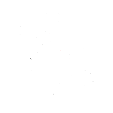 COC(=O)CCCOC1OC(COC(OC(CO)[C@H](C)OC(=O)c2ccccc2)[C@@H](COC(=O)c2ccccc2)OC(=O)c2ccccc2)C(OCc2ccccc2)C(O)C1OCc1ccccc1